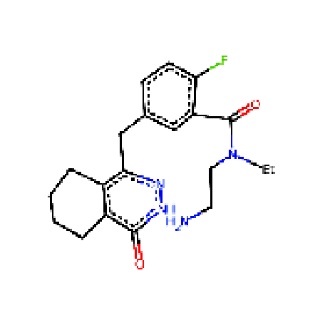 CCN(CCN)C(=O)c1cc(Cc2n[nH]c(=O)c3c2CCCC3)ccc1F